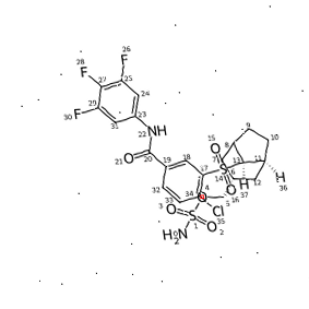 NS(=O)(=O)OC[C@@H]1CC2CC[C@@H](C1)[C@H]2S(=O)(=O)c1cc(C(=O)Nc2cc(F)c(F)c(F)c2)ccc1Cl